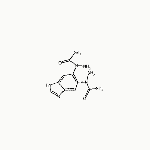 NC(=O)N(N)c1cc2nc[nH]c2cc1N(N)C(N)=O